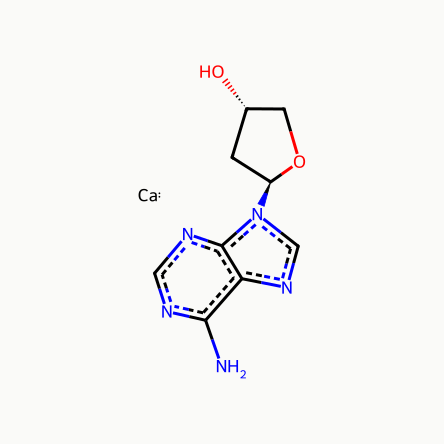 Nc1ncnc2c1ncn2[C@H]1C[C@H](O)CO1.[Ca]